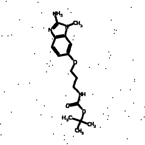 Cn1c(N)nc2ccc(OCCCNC(=O)OC(C)(C)C)cc21